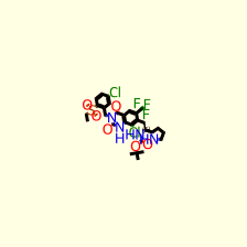 CCS(=O)(=O)c1ccc(Cl)cc1Cn1c(=O)[nH]c2c(Cl)c(C[C@H](NC(=O)OC(C)(C)C)C3CCCN3)c(C(F)(F)F)cc2c1=O